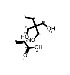 C=CC(=O)O.CCC(CO)(CO)CO